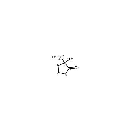 CCOC(=O)C1(CC)CCCC1=O